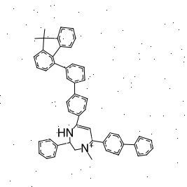 C[N+]1=C(c2ccc(-c3ccccc3)cc2)C=C(c2ccc(-c3cccc(-c4cccc5c4-c4ccccc4C5(C)C)c3)cc2)NC(c2ccccc2)C1